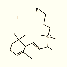 CC1=CCCC(C)(C)C1/C=C/C(C)[N+](C)(C)CCCBr.[I-]